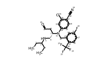 CCC(CC)NC[C@H](CC=O)N(Cc1cc(F)ccc1C(F)(F)F)c1ccc(C#N)c(Cl)c1